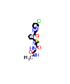 CNC(=O)CNC(=O)c1csc(C2CCCN2C(=O)c2cn3cc(Cl)ccc3n2)n1